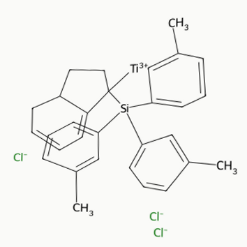 Cc1cccc([Si](c2cccc(C)c2)(c2cccc(C)c2)[C]2([Ti+3])CCC3CC=CC=C32)c1.[Cl-].[Cl-].[Cl-]